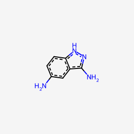 Nc1ccc2[nH]nc(N)c2c1